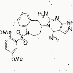 COc1ccc(OC)c(S(=O)(=O)N2CCC(N3C(N)=Nc4[nH]ncc4C3N)Cc3ccccc32)c1